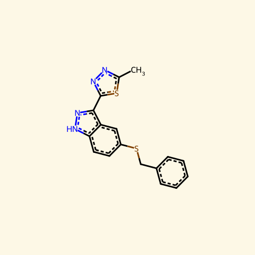 Cc1nnc(-c2n[nH]c3ccc(SCc4ccccc4)cc23)s1